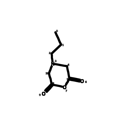 CCCN1CC(=O)OC(=O)C1